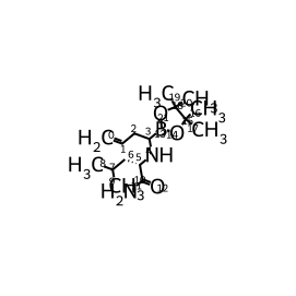 C=CCC(N[C@@H](CC(C)C)C(N)=O)B1OC(C)(C)C(C)(C)O1